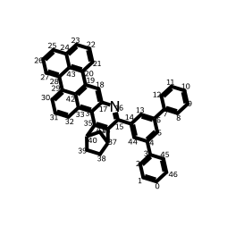 c1ccc(-c2cc(-c3ccccc3)cc(-c3nc4cc5c6cccc7cccc(c8cccc(c4c4c3C3CCC4C3)c85)c76)c2)cc1